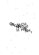 Cc1cc(C(=O)NCN)ccc1-c1ccnc(Nc2ccc(N3CCOCC3)cc2)n1